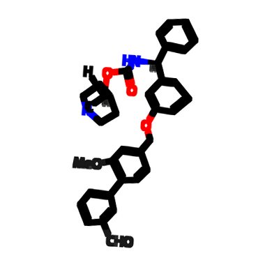 COc1cc(COc2cccc([C@@H](NC(=O)O[C@H]3CN4CCC3CC4)c3ccccc3)c2)ccc1-c1cccc(C=O)c1